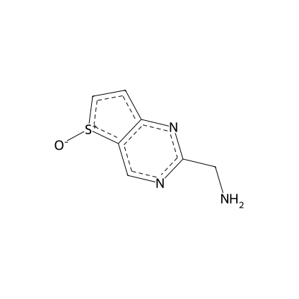 NCc1ncc2c(cc[s+]2[O-])n1